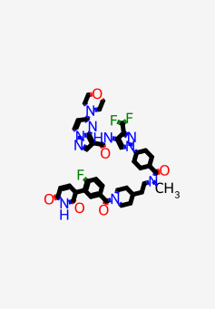 CN(CCC1CCN(C(=O)c2ccc(F)c(C3C=CC(=O)NC3=O)c2)CC1)C(=O)C1CCC(n2cc(NC(=O)c3cnn4ccc(N5CCOCC5)nc34)c(C(F)F)n2)CC1